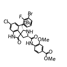 COC(=O)c1ccc(NC(=O)[C@H]2CC3(C(=O)Nc4cc(Cl)cc(-c5cccc(Br)c5F)c43)[C@H](CC(C)(C)C)N2)c(OC)c1